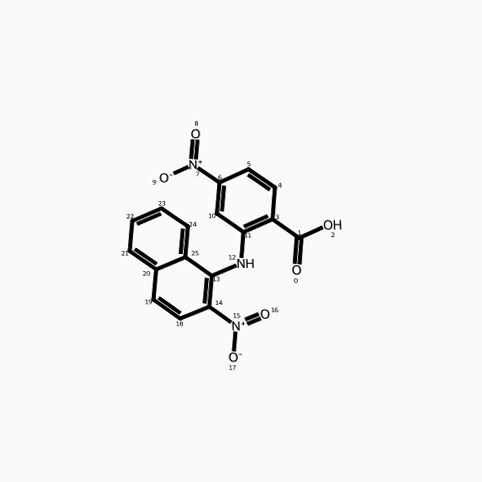 O=C(O)c1ccc([N+](=O)[O-])cc1Nc1c([N+](=O)[O-])ccc2ccccc12